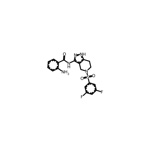 Nc1ccccc1C(=O)Nc1n[nH]c2c1CN(S(=O)(=O)c1cc(F)cc(F)c1)CC2